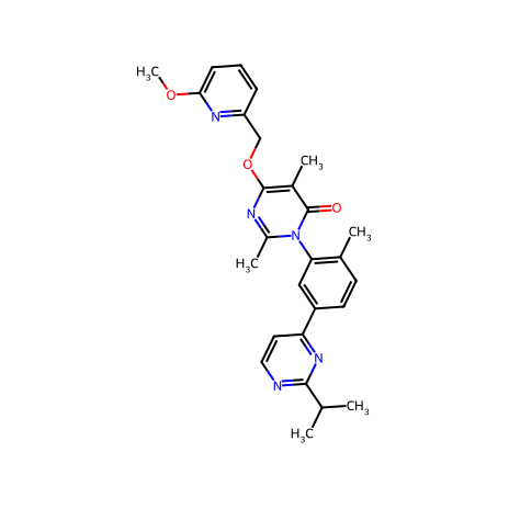 COc1cccc(COc2nc(C)n(-c3cc(-c4ccnc(C(C)C)n4)ccc3C)c(=O)c2C)n1